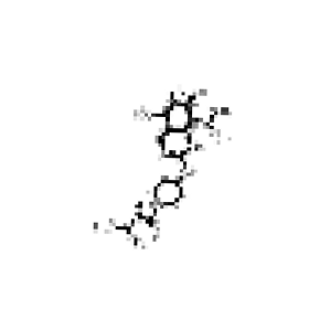 Cc1c(C)c2cnc(NC3CCN(C(=O)NC(C)C)CC3)nc2n(C(C)C)c1=O